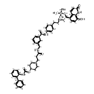 CC(C)(C)[Si](C)(C)O[C@@H](CNCCc1ccc(NC(=O)c2cccc(CNC(=O)CCN3CCC(OC(=O)Nc4ccccc4-c4ccccc4)CC3)c2)cc1)c1ccc(O)c2[nH]c(=O)ccc12